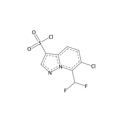 O=S(=O)(Cl)c1cnn2c(C(F)F)c(Cl)ccc12